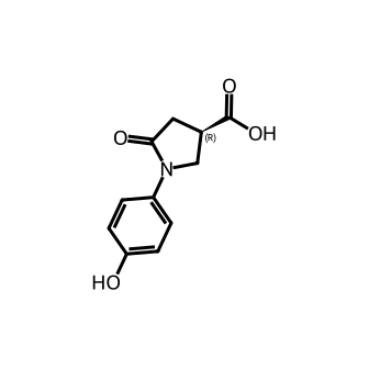 O=C(O)[C@@H]1CC(=O)N(c2ccc(O)cc2)C1